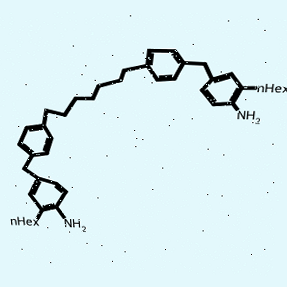 CCCCCCc1cc(Cc2ccc(CCCCCCCc3ccc(Cc4ccc(N)c(CCCCCC)c4)cc3)cc2)ccc1N